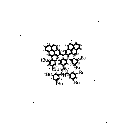 CC(C)(C)c1cc(-c2nc(-c3cc(C(C)(C)C)cc(C(C)(C)C)c3)nc(-c3cc4c5c(c3)N(c3cc(C(C)(C)C)cc(C(C)(C)C)c3)c3c(cc6ccc7cccc8ccc3c6c78)B5c3cc5ccc6cccc7ccc(c3N4c3cc(C(C)(C)C)cc(C(C)(C)C)c3)c5c67)n2)cc(C(C)(C)C)c1